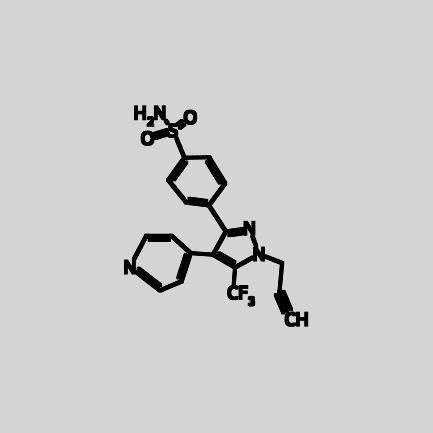 C#CCn1nc(-c2ccc(S(N)(=O)=O)cc2)c(-c2ccncc2)c1C(F)(F)F